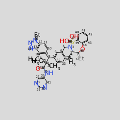 CCC1CN(Cc2cc(C(c3ccc4c(nnn4CC)c3C)C(C)(C)C(=O)Nc3cncnc3)ccc2C)S(O)(O)c2ccccc2O1